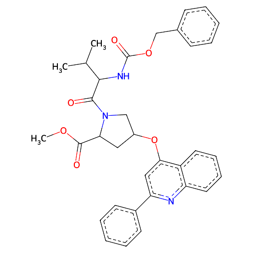 COC(=O)C1CC(Oc2cc(-c3ccccc3)nc3ccccc23)CN1C(=O)C(NC(=O)OCc1ccccc1)C(C)C